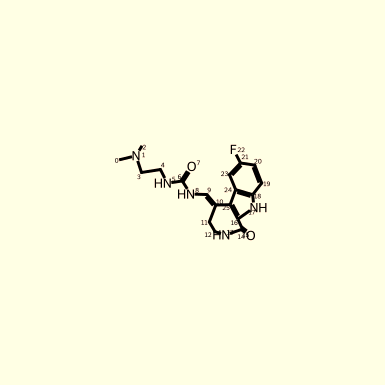 CN(C)CCNC(=O)N/C=C1\CCNC(=O)c2[nH]c3ccc(F)cc3c21